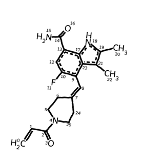 C=CC(=O)N1CCC(=Cc2c(F)cc(C(N)=O)c3[nH]c(C)c(C)c23)CC1